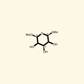 CO[C@H]1O[C@@H](SC)C(O)[C@@H](O)C1O